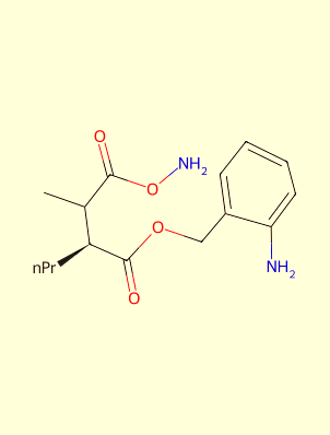 CCC[C@H](C(=O)OCc1ccccc1N)C(C)C(=O)ON